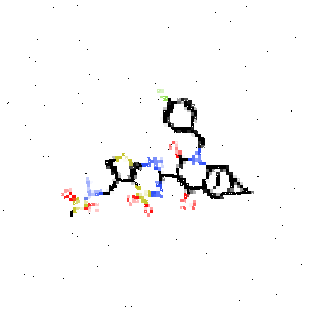 CS(=O)(=O)NCc1csc2c1S(=O)(=O)N=C(C1=C(O)C3C4CCC(C5CC54)C3N(Cc3ccc(F)cc3)C1=O)N2